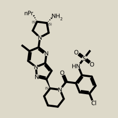 CCC[C@H]1CN(c2nc3cc([C@@H]4CCCCN4C(=O)c4cc(Cl)ccc4NS(C)(=O)=O)nn3cc2C)C[C@H]1N